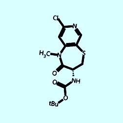 CN1C(=O)[C@@H](NC(=O)OC(C)(C)C)CSc2cnc(Cl)cc21